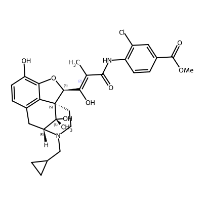 COC(=O)c1ccc(NC(=O)/C(C)=C(\O)[C@@H]2Oc3c(O)ccc4c3[C@@]23CCN(CC2CC2)[C@H](C4)[C@@]3(C)O)c(Cl)c1